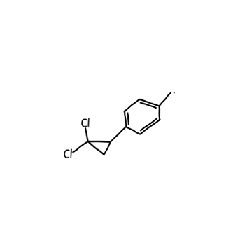 [CH2]c1ccc(C2CC2(Cl)Cl)cc1